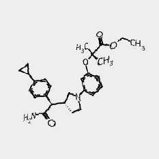 CCOC(=O)C(C)(C)Oc1cccc(N2CC[C@H]([C@@H](C(N)=O)c3ccc(C4CC4)cc3)C2)c1